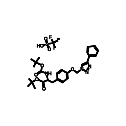 CC(C)(C)OC(=O)NC(Cc1ccc(OCn2cc(-c3ccccc3)nn2)cc1)C(=O)OC(C)(C)C.O=S(=O)(O)C(F)(F)F